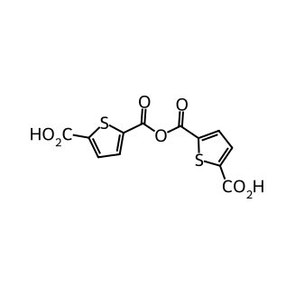 O=C(O)c1ccc(C(=O)OC(=O)c2ccc(C(=O)O)s2)s1